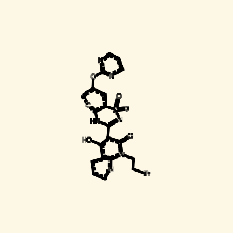 CC(C)CCn1c(=O)c(C2=NS(=O)(=O)c3cc(Oc4ncccn4)ccc3N2)c(O)c2cccnc21